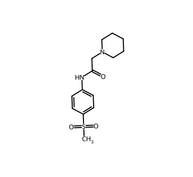 CS(=O)(=O)c1ccc(NC(=O)CN2CCCCC2)cc1